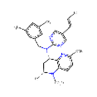 [C-]#[N+]/C=C/c1cnc(N(Cc2cc(C(F)(F)F)cc(C(F)(F)F)c2)[C@H]2C[C@@H](CC)N(C(=O)OCC)c3ccc(OC)nc32)nc1